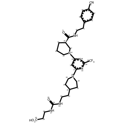 N#Cc1ccc(CCNC(=O)[C@@H]2CCCN(c3cc(N4CCC(CCNC(=O)NCCC(=O)O)CC4)nc(C(F)(F)F)n3)C2)cc1